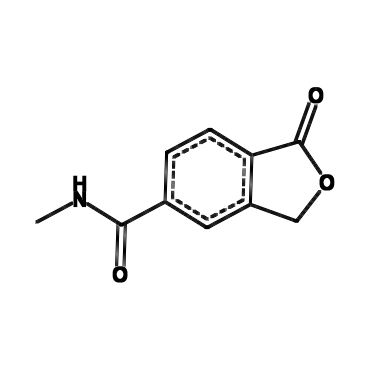 CNC(=O)c1ccc2c(c1)COC2=O